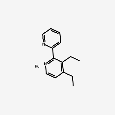 CCc1ccnc(-c2ccccn2)c1CC.[Ru]